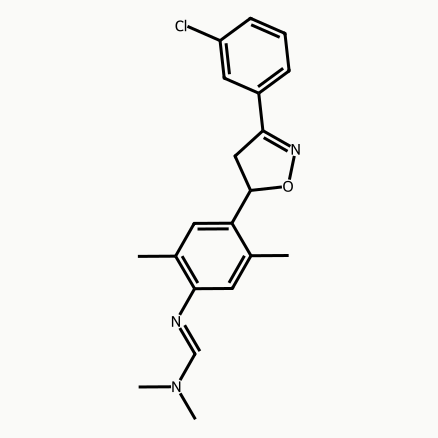 Cc1cc(C2CC(c3cccc(Cl)c3)=NO2)c(C)cc1N=CN(C)C